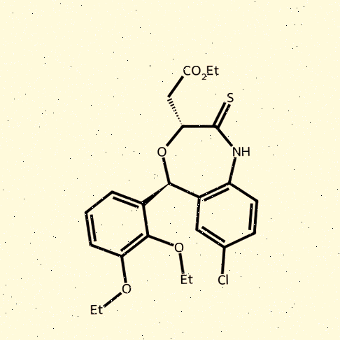 CCOC(=O)C[C@H]1O[C@H](c2cccc(OCC)c2OCC)c2cc(Cl)ccc2NC1=S